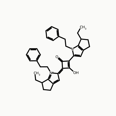 CCC1CCC2=C/C(=C3/C(=O)C(c4cc5c(n4CCc4ccccc4)C(CC)CC5)=C3O)[N+](CCc3ccccc3)=C21